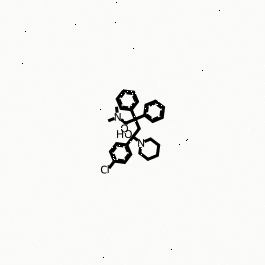 CN(C)C(=O)C(CC(O)(c1ccc(Cl)cc1)N1CCCCC1)(c1ccccc1)c1ccccc1